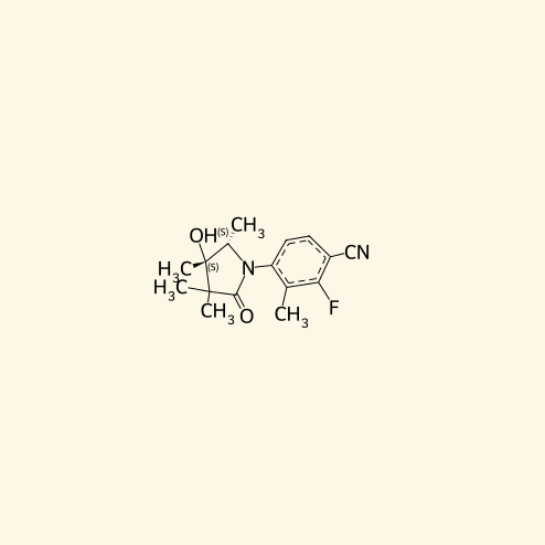 Cc1c(N2C(=O)C(C)(C)[C@](C)(O)[C@@H]2C)ccc(C#N)c1F